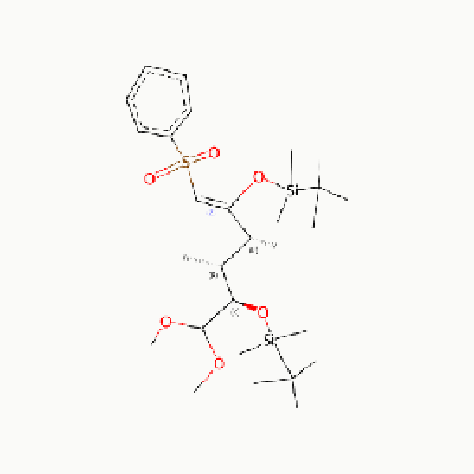 COC(OC)[C@H](O[Si](C)(C)C(C)(C)C)[C@H](C)[C@@H](C)/C(=C/S(=O)(=O)c1ccccc1)O[Si](C)(C)C(C)(C)C